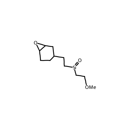 COCC[Si](=O)CCC1CCC2OC2C1